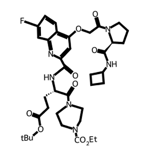 CCOC(=O)N1CCN(C(=O)[C@H](CCC(=O)OC(C)(C)C)NC(=O)c2cc(OCC(=O)N3CCC[C@H]3C(=O)NC3CCC3)c3ccc(F)cc3n2)CC1